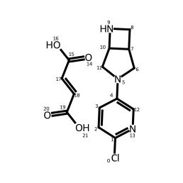 Clc1ccc(N2CC3CNC3C2)cn1.O=C(O)C=CC(=O)O